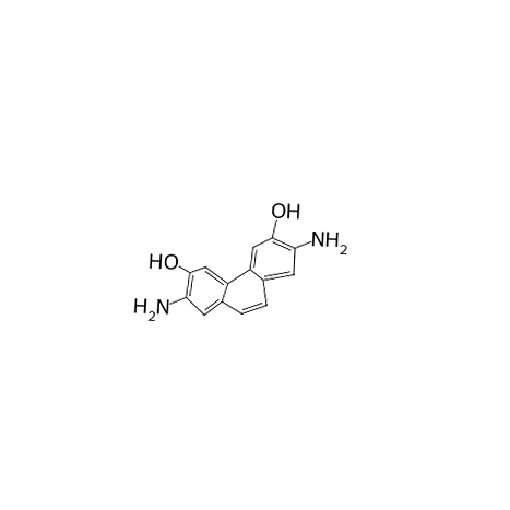 Nc1cc2ccc3cc(N)c(O)cc3c2cc1O